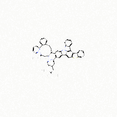 C=C1CC2(C)[n+]3ccc(CC(C)(C)C)cc3-c3cc4c5cc6sc7ccccc7c6c6c7ccccc7n(c4cc3C2(C)CCc2ccccc2-c2cccc[n+]21)c56